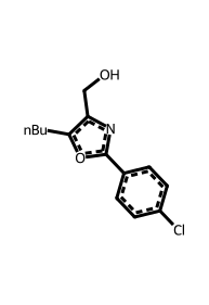 CCCCc1oc(-c2ccc(Cl)cc2)nc1CO